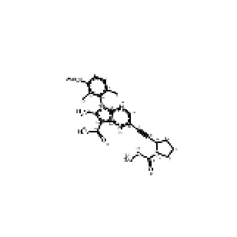 COc1ccc(C)c(-n2c(N)c(C(N)=O)c3nc(C#CC4CCCN4C(=O)OC(C)(C)C)cnc32)c1C